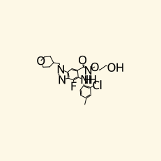 Cc1ccc(Nc2c(C(=O)NOCCO)cc3c(ncn3CC3CCOCC3)c2F)c(Cl)c1